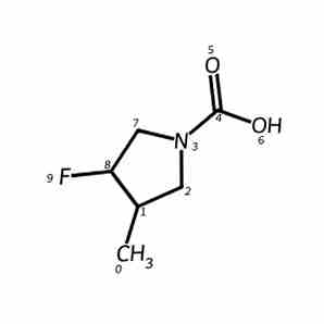 CC1CN(C(=O)O)CC1F